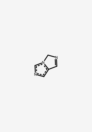 C1=NCn2cncc21